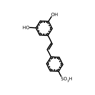 O=S(=O)(O)c1ccc(/C=C/c2cc(O)cc(O)c2)cc1